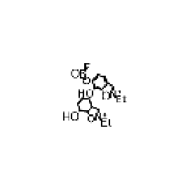 CC[n+]1cc2cccc(O)c2o1.CC[n+]1cc2cccc(O)c2o1.[O-]B([O-])F